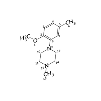 COc1ccc(C)cc1N1CCN(C)CC1